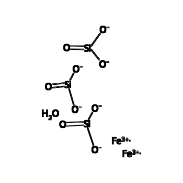 O.O=[Si]([O-])[O-].O=[Si]([O-])[O-].O=[Si]([O-])[O-].[Fe+3].[Fe+3]